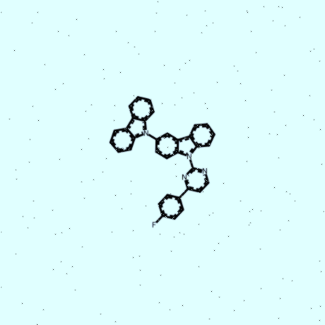 Fc1ccc(-c2ccnc(-n3c4ccccc4c4cc(-n5c6ccccc6c6ccccc65)ccc43)n2)cc1